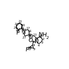 N[C@H]1CCCN(C(=O)C2C[C@@H]2F)[C@H]1COC1CCN(c2ccccc2F)CC1